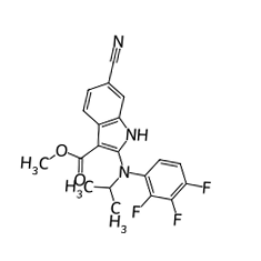 COC(=O)c1c(N(c2ccc(F)c(F)c2F)C(C)C)[nH]c2cc(C#N)ccc12